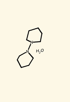 C1CCN(N2CCCCC2)CC1.O